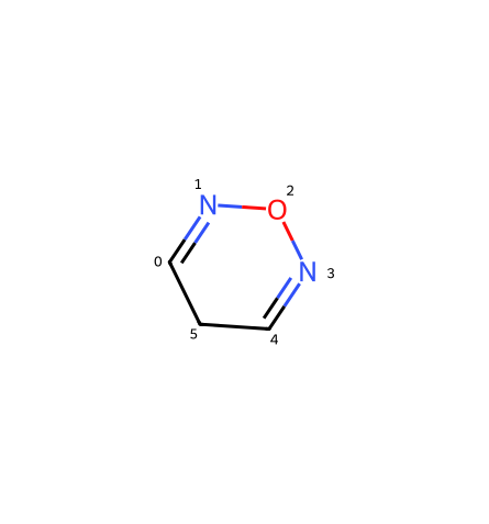 C1=NON=CC1